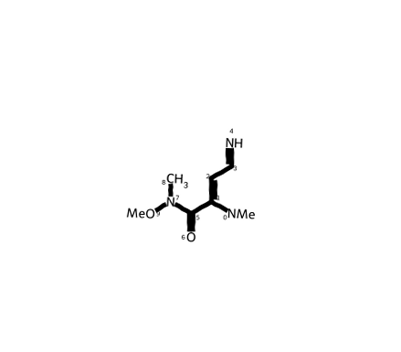 CN/C(=C\C=N)C(=O)N(C)OC